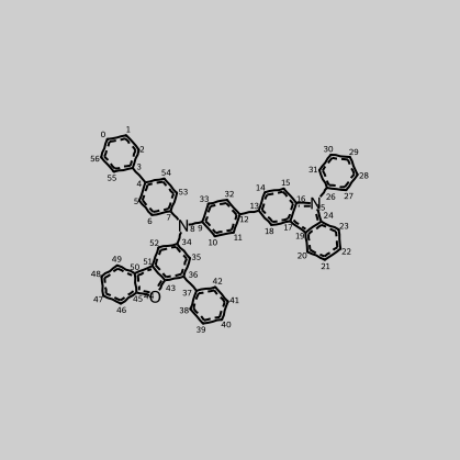 c1ccc(-c2ccc(N(c3ccc(-c4ccc5c(c4)c4ccccc4n5-c4ccccc4)cc3)c3cc(-c4ccccc4)c4oc5ccccc5c4c3)cc2)cc1